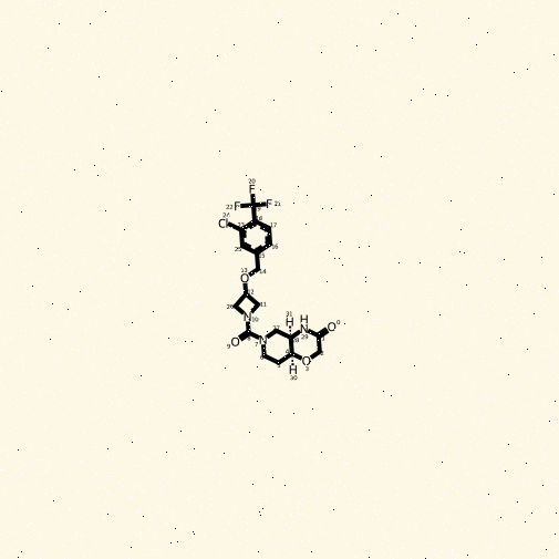 O=C1CO[C@H]2CCN(C(=O)N3CC(OCc4ccc(C(F)(F)F)c(Cl)c4)C3)C[C@H]2N1